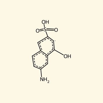 Nc1ccc2cc(S(=O)(=O)O)[c]c(O)c2c1